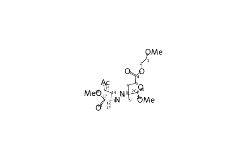 COCCOC(=O)CCC(C)(N=NC(C)(CCC(C)=O)C(=O)OC)C(=O)OC